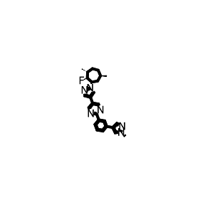 C[C@@H]1CC[C@@H](C)[C@@H](F)[C@H](n2cc(-c3cnc(-c4cccc(-c5cnn(C)c5)c4)nc3)cn2)C1